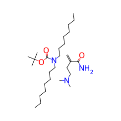 C=C(CCN(C)C)C(N)=O.CCCCCCCCN(CCCCCCCC)C(=O)OC(C)(C)C